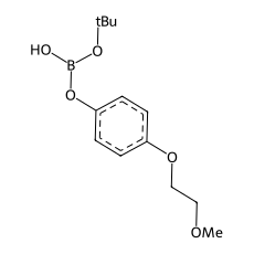 COCCOc1ccc(OB(O)OC(C)(C)C)cc1